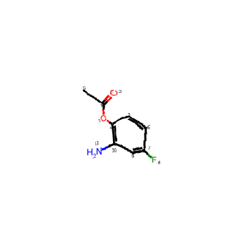 CC(=O)Oc1ccc(F)cc1N